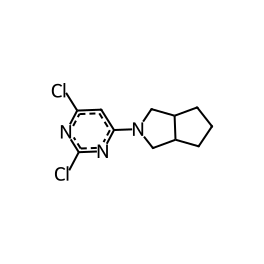 Clc1cc(N2CC3CCCC3C2)nc(Cl)n1